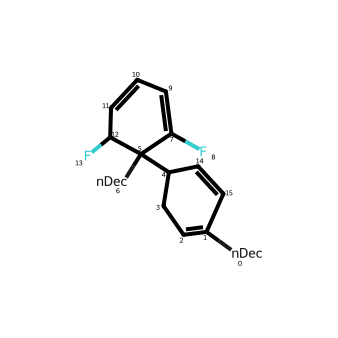 CCCCCCCCCCC1=CCC(C2(CCCCCCCCCC)C(F)=CC=CC2F)C=C1